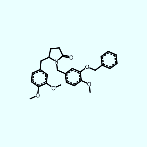 COc1ccc(CC2CCC(=O)N2Cc2ccc(OC)c(OCc3ccccc3)c2)cc1OC